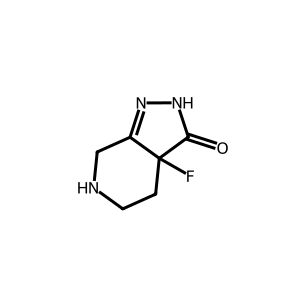 O=C1NN=C2CNCCC12F